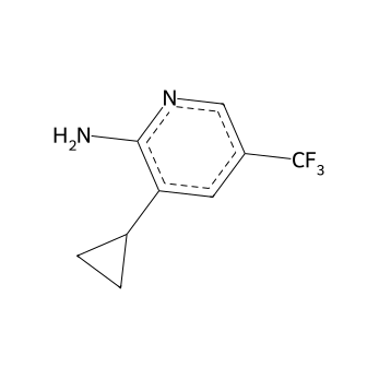 Nc1ncc(C(F)(F)F)cc1C1CC1